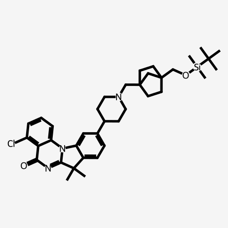 CC1(C)c2ccc(C3CCN(CC45CCC(CO[Si](C)(C)C(C)(C)C)(CC4)C5)CC3)cc2-n2c1nc(=O)c1c(Cl)cccc12